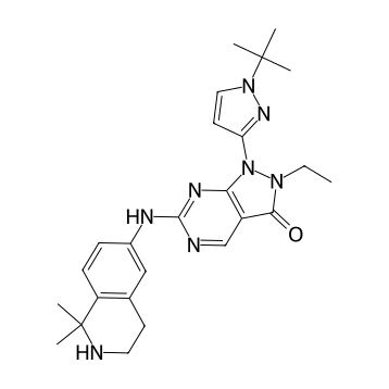 CCn1c(=O)c2cnc(Nc3ccc4c(c3)CCNC4(C)C)nc2n1-c1ccn(C(C)(C)C)n1